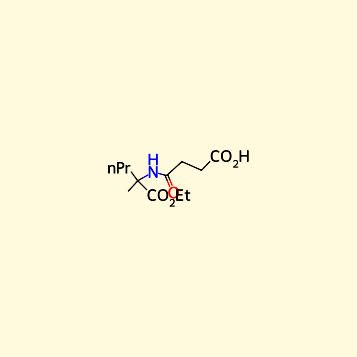 CCCC(C)(NC(=O)CCC(=O)O)C(=O)OCC